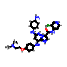 CN(C)CCOc1ccc(Nc2cc(N[C@H]3CC[C@H](N)CC3)nn3c(C(=O)Nc4ccncc4F)cnc23)cc1